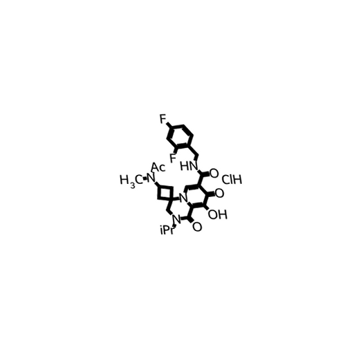 CC(=O)N(C)C1CC2(C1)CN(C(C)C)C(=O)c1c(O)c(=O)c(C(=O)NCc3ccc(F)cc3F)cn12.Cl